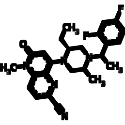 CC[C@H]1CN(C(C)c2ccc(F)cc2F)C(C)CN1c1cc(=O)n(C)c2ccc(C#N)nc12